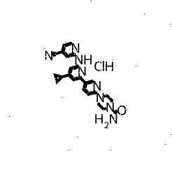 Cl.N#Cc1ccnc(Nc2cc(C3CC3)cc(-c3ccc(N4CCN(C(N)=O)CC4)nc3)n2)c1